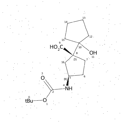 CC(C)(C)OC(=O)N[C@@H]1CC[C@@](C(=O)O)(C2(O)CCCC2)C1